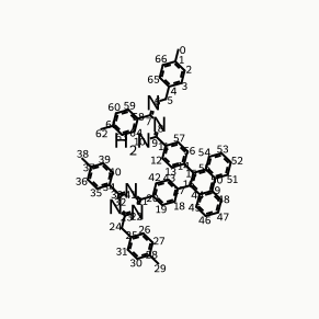 Cc1ccc(C/N=C(\N=C(/N)c2ccc(-c3c(-c4ccc(-c5nc(Cc6ccc(C)cc6)nc(-c6ccc(C)cc6)n5)cc4)c4ccccc4c4ccccc34)cc2)c2ccc(C)cc2)cc1